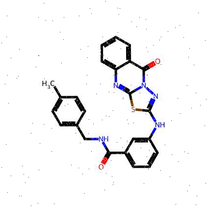 Cc1ccc(CNC(=O)c2cccc(Nc3nn4c(=O)c5ccccc5nc4s3)c2)cc1